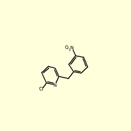 O=[N+]([O-])c1cccc([CH]c2cccc(Cl)n2)c1